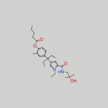 CCCCC(=O)Oc1ccc(C(CC)(CC)c2cc(C(=O)NCC(C)(C)O)n(CC)c2)cc1C